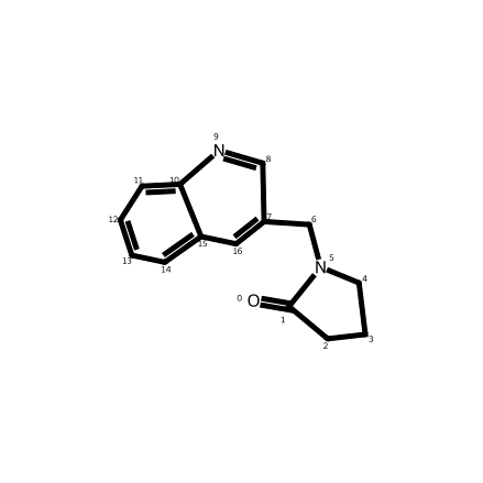 O=C1CCCN1Cc1cnc2ccccc2c1